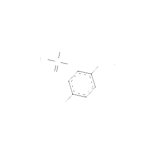 CCCCCCc1cc[c]([La])cc1.O=P(O)(O)O